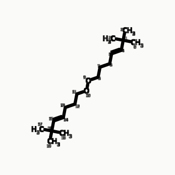 CC(C)(C)C=CCCCOOCCCC=CC(C)(C)C